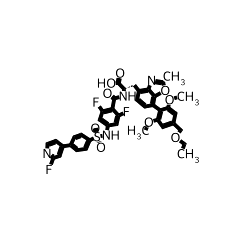 CCOCc1cc(OC)c(-c2ccc(C[C@H](NC(=O)c3c(F)cc(NS(=O)(=O)c4ccc(-c5ccnc(F)c5)cc4)cc3F)C(=O)O)c3nc(C)oc23)c(OC)c1